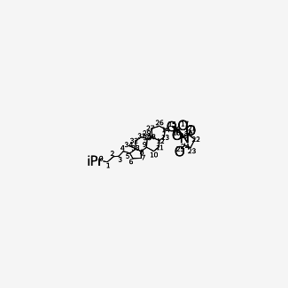 CC(C)CCCCC1CCC2C3CCC4CC(OC(=O)ON5C(=O)CCC5=O)CCC4(C)C3CCC12C